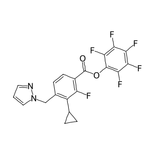 O=C(Oc1c(F)c(F)c(F)c(F)c1F)c1ccc(Cn2cccn2)c(C2CC2)c1F